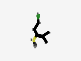 CCSC(CCCl)=C(C)C